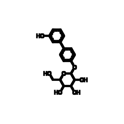 OCC1OC(Oc2ccc(-c3cccc(O)c3)cc2)C(O)C(O)C1O